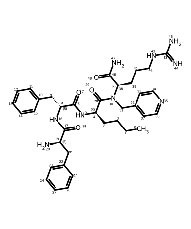 CCCC[C@@H](NC(=O)[C@@H](Cc1ccccc1)NC(=O)[C@H](N)Cc1ccccc1)C(=O)N(Cc1ccncc1)[C@H](CCCNC(=N)N)C(N)=O